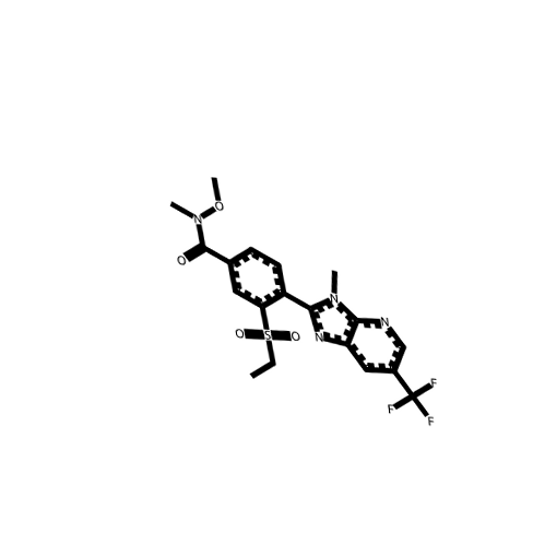 CCS(=O)(=O)c1cc(C(=O)N(C)OC)ccc1-c1nc2cc(C(F)(F)F)cnc2n1C